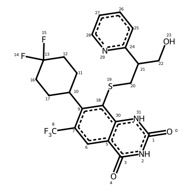 O=c1[nH]c(=O)c2cc(C(F)(F)F)c(C3CCC(F)(F)CC3)c(SCC(CO)c3ccccn3)c2[nH]1